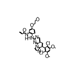 C=CC(=O)Nc1cc(OCCOC)ccc1Nc1ncc2cc(-c3c(Cl)c(OC)cc(OC)c3Cl)c3nccn3c2n1